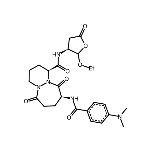 CCOC1OC(=O)C[C@@H]1NC(=O)[C@@H]1CCCN2C(=O)CC[C@H](NC(=O)c3ccc(N(C)C)cc3)C(=O)N12